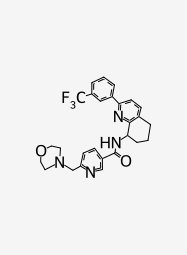 O=C(NC1CCCc2ccc(-c3cccc(C(F)(F)F)c3)nc21)c1ccc(CN2CCOCC2)nc1